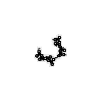 CCc1ccc(N(c2ccccc2)c2ccc3c4cc5c(cc4n4c6ccccc6c2c34)c2ccc(N(c3ccccc3)c3ccc(CCc4ccc(N(c6ccc(C)cc6)c6ccc7c8cc9c(cc8n8c%10ccccc%10c6c78)c6ccc(N(c7ccccc7)c7ccc(C)cc7)c7c8ccccc8n9c67)cc4)cc3)c3c4ccccc4n5c23)cc1